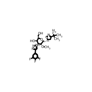 CO[C@@H]1[C@@H](n2cc(-c3cc(F)c(F)c(F)c3)nn2)[C@@H](O)[C@@H](CO)O[C@@H]1C[C@H]1CC(C(C)(C)C)=NO1